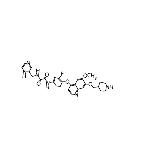 COc1cc2c(OC3=C(F)C=C(NC(=O)C(=O)NCC4C=NC=CN4)CC3)ccnc2cc1OCC1CCNCC1